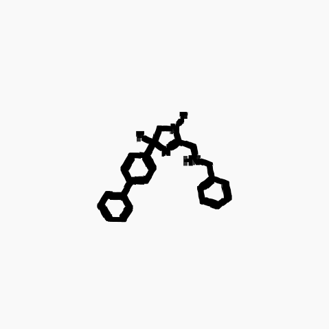 FN1CC(F)(c2ccc(-c3ccccc3)cc2)N=C1CNCc1ccccc1